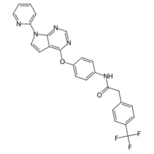 O=C(Cc1ccc(C(F)(F)F)cc1)Nc1ccc(Oc2ncnc3c2ccn3-c2ccccn2)cc1